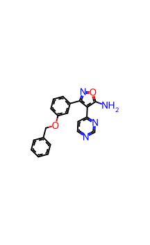 Nc1onc(-c2cccc(OCc3ccccc3)c2)c1-c1ccncn1